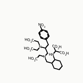 O=C(O)CN(CC1CCCCC1NC(C(=O)O)C(=O)O)CC(Cc1ccc([N+](=O)[O-])cc1)N(CC(=O)O)CC(=O)O